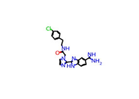 N=C(N)c1ccc2[nH]c(-c3nccn3CC(=O)NCCc3ccc(Cl)cc3)nc2c1